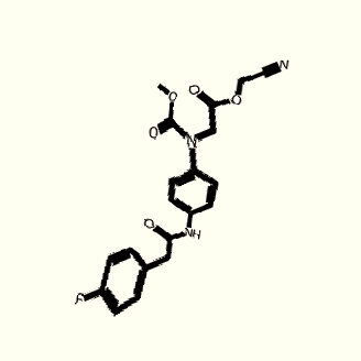 COC(=O)N(CC(=O)OCC#N)c1ccc(NC(=O)Cc2ccc(F)cc2)cc1